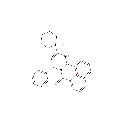 CC1(C(=O)N[C](c2ccccc2)N(Cc2ccccc2)C(=O)c2ccccc2)CCCCC1